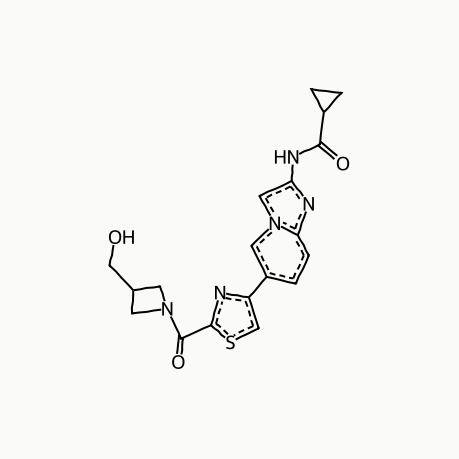 O=C(Nc1cn2cc(-c3csc(C(=O)N4CC(CO)C4)n3)ccc2n1)C1CC1